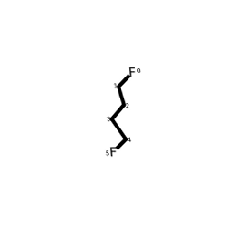 FCCCCF